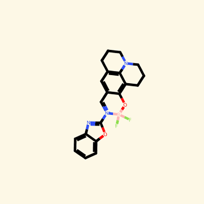 F[B-]1(F)Oc2c(cc3c4c2CCCN4CCC3)C=[N+]1c1nc2ccccc2o1